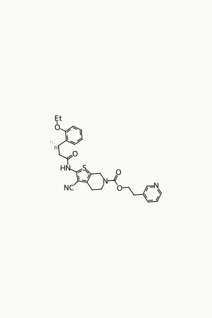 CCOc1ccccc1[C@@H](C)CC(=O)Nc1sc2c(c1C#N)CCN(C(=O)OCCc1cccnc1)C2